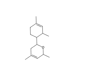 CC1=CC(C)C(C2CC(C)=CC(C)O2)CC1